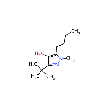 CCCCc1c(O)c(C(C)(C)C)nn1C